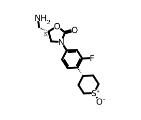 NC[C@H]1CN(c2ccc([C@H]3CC[S@+]([O-])CC3)c(F)c2)C(=O)O1